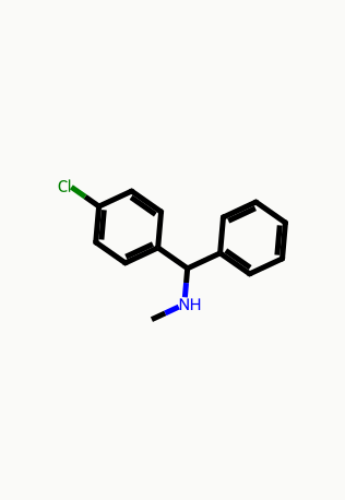 CNC(c1ccccc1)c1ccc(Cl)cc1